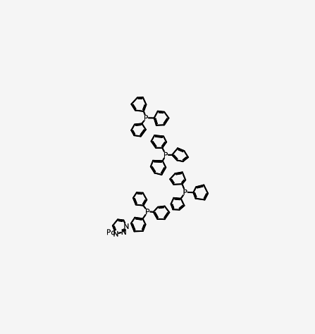 [Pd].c1ccc(P(c2ccccc2)c2ccccc2)cc1.c1ccc(P(c2ccccc2)c2ccccc2)cc1.c1ccc(P(c2ccccc2)c2ccccc2)cc1.c1ccc(P(c2ccccc2)c2ccccc2)cc1.c1cnnnc1